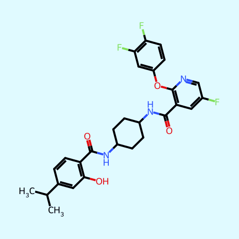 CC(C)c1ccc(C(=O)NC2CCC(NC(=O)c3cc(F)cnc3Oc3ccc(F)c(F)c3)CC2)c(O)c1